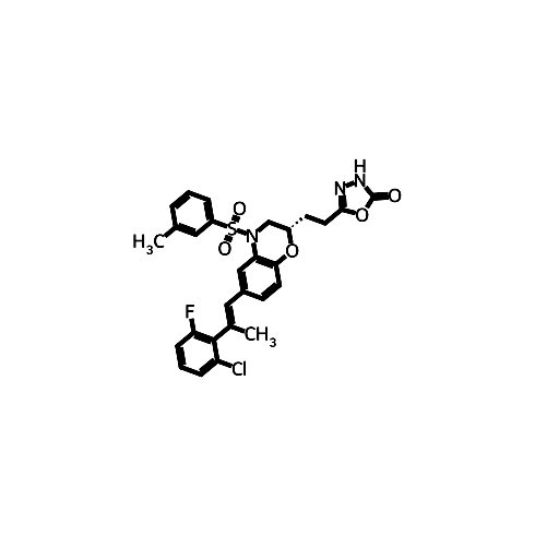 C/C(=C\c1ccc2c(c1)N(S(=O)(=O)c1cccc(C)c1)C[C@H](CCc1n[nH]c(=O)o1)O2)c1c(F)cccc1Cl